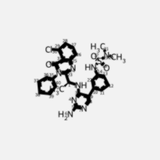 C[C@H](Nc1nc(N)ncc1-c1cccc(NS(=O)(=O)N(C)C)c1)c1nc2cccc(Cl)c2c(=O)n1-c1ccccc1